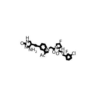 CC(=O)c1cn(CC(=O)N2C[C@H](F)C[C@H]2C(=O)NCc2cccc(Cl)c2F)c2ccc(C#CC3CNC(=O)N=C3N)cc12